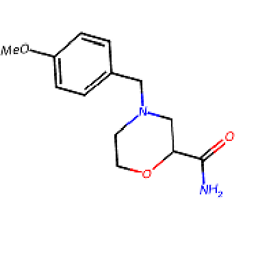 COc1ccc(CN2CCOC(C(N)=O)C2)cc1